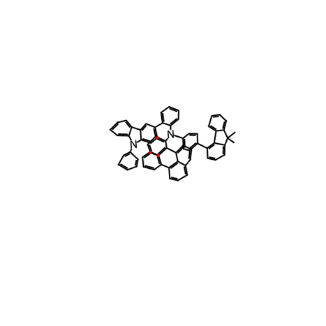 CC1(C)c2ccccc2-c2c(-c3ccc(N(c4ccccc4-c4ccc5c(c4)c4ccccc4n5-c4ccccc4)c4ccccc4-c4cccc5cccc(-c6ccccc6)c45)cc3)cccc21